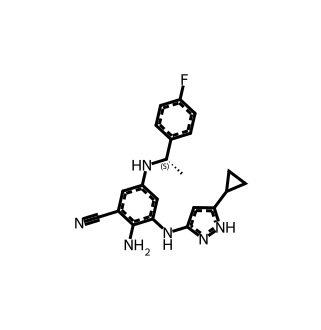 C[C@H](Nc1cc(C#N)c(N)c(Nc2cc(C3CC3)[nH]n2)c1)c1ccc(F)cc1